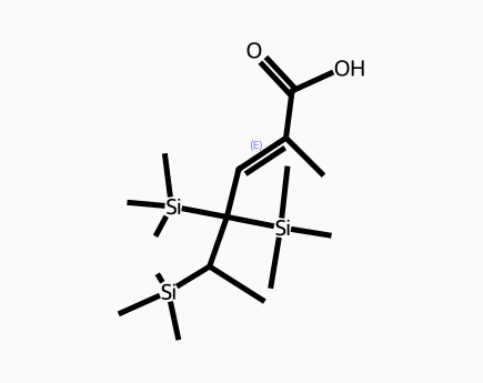 C/C(=C\C(C(C)[Si](C)(C)C)([Si](C)(C)C)[Si](C)(C)C)C(=O)O